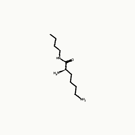 CCCCNC(=O)[C@H](N)CCCCN